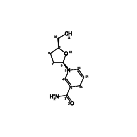 NC(=O)C1=CN([C@H]2CC[C@@H](CO)O2)C=CC1